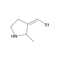 CC/C=C1/CCNC1C